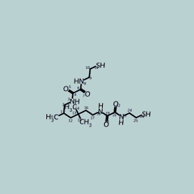 CC(CNC(=O)C(=O)NCCS)CC(C)(C)CCNC(=O)C(=O)NCCS